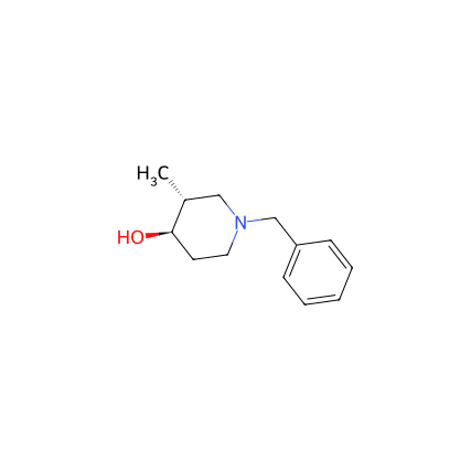 C[C@@H]1CN(Cc2ccccc2)CC[C@H]1O